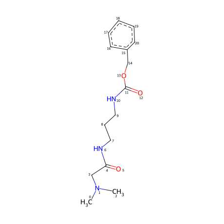 CN(C)CC(=O)NCCCNC(=O)OCc1ccccc1